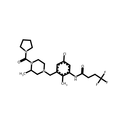 Cc1c(CN2CCN(C(=O)N3CCCC3)C(C)C2)cc(Cl)cc1NC(=O)CCC(F)(F)F